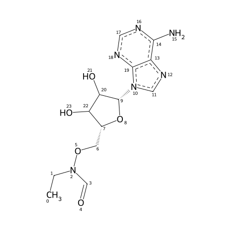 CCN(C=O)OC[C@H]1O[C@@H](n2cnc3c(N)ncnc32)C(O)C1O